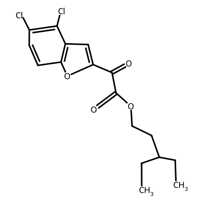 CCC(CC)CCOC(=O)C(=O)c1cc2c(Cl)c(Cl)ccc2o1